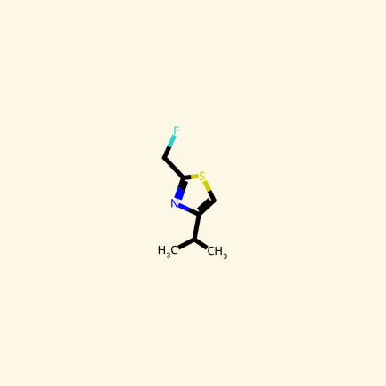 CC(C)c1csc(CF)n1